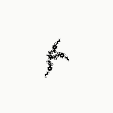 CCCCOc1ccc(C(=O)OOC(=O)OCC(CCC)(COC(=O)OOC(=O)c2ccc(OCCCC)cc2)COC(=O)OOC(=O)c2ccc(OCCCC)cc2)cc1